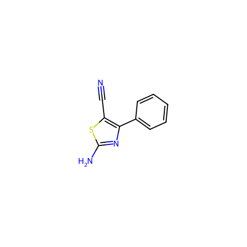 N#Cc1sc(N)nc1-c1ccccc1